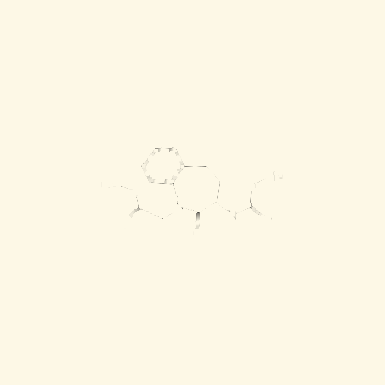 CCCCOC(=O)CN1C(=O)C(NC(=O)OC(C)(C)C)CCc2ccccc21